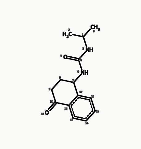 CC(C)NC(=O)NC1CCC(=O)c2ccccc21